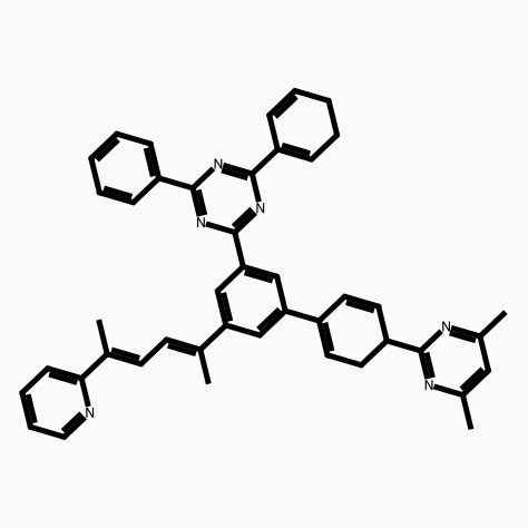 C/C(=C\C=C(/C)c1ccccn1)c1cc(C2=CCC(c3nc(C)cc(C)n3)C=C2)cc(-c2nc(C3=CCCC=C3)nc(-c3ccccc3)n2)c1